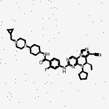 CC[C@@H]1c2c(C#N)ncn2-c2cnc(Nc3ccc(C(=O)NC4CCC(N5CCN(CC6CC6)CC5)CC4)c(F)c3)nc2N1C1CCCC1